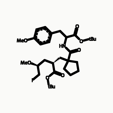 COc1ccc(CC(NC(=O)C2(C[C@@H](C[C@@H](CI)OC)C(=O)OC(C)(C)C)CCCC2)C(=O)OC(C)(C)C)cc1